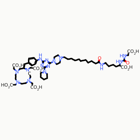 O=C(O)CNC(=O)NC(CCCCNC(=O)CCCCCCCCCCN1CCN(c2nc(Nc3ccc(CC4CN(CC(=O)O)CCN(CC(=O)O)CCN(CC(=O)O)CCN4CC(=O)O)cc3)nc(N3CCCCC3)n2)CC1)C(=O)O